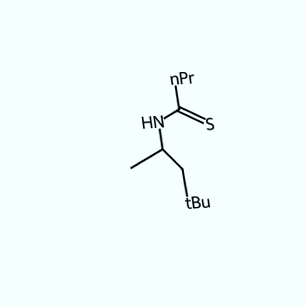 CCCC(=S)NC(C)CC(C)(C)C